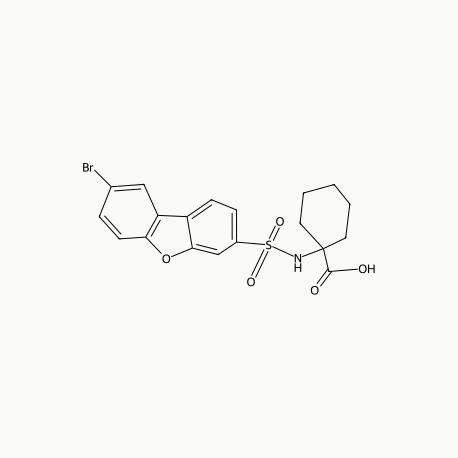 O=C(O)C1(NS(=O)(=O)c2ccc3c(c2)oc2ccc(Br)cc23)CCCCC1